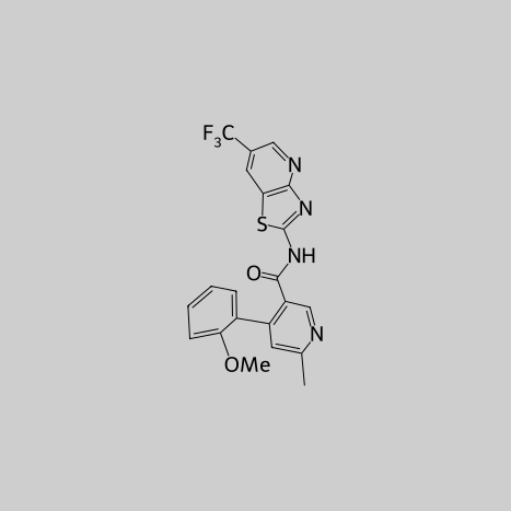 COc1ccccc1-c1cc(C)ncc1C(=O)Nc1nc2ncc(C(F)(F)F)cc2s1